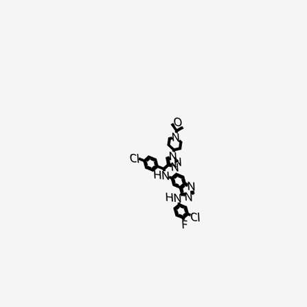 Fc1ccc(Nc2ncnc3ccc(NC(c4ccc(Cl)cc4)c4cn(C5CCN(C6COC6)CC5)nn4)cc23)cc1Cl